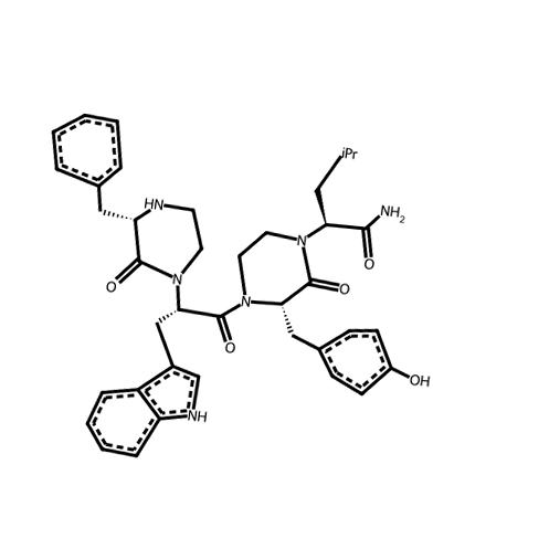 CC(C)C[C@@H](C(N)=O)N1CCN(C(=O)[C@H](Cc2c[nH]c3ccccc23)N2CCN[C@@H](Cc3ccccc3)C2=O)[C@@H](Cc2ccc(O)cc2)C1=O